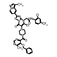 CCc1c(N2CCN(C(=O)c3ncnc(C)c3OCc3ccccc3)CC2)c(=O)n2nc(-c3ccn4ncc(C)c4c3)nc2n1CC(=O)Nc1ccc(C(F)(F)F)cc1Cl